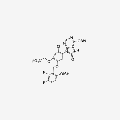 COc1ccc(F)c(F)c1COc1cc(-n2c(=O)[nH]c3c(OC)ncnc32)c(Cl)cc1OCC(=O)O